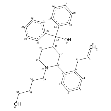 C=CCc1ccccc1C1CC(C(O)(c2ccccc2)c2ccccc2)CCN1CCCCO